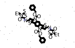 CCN1C(=O)S/C(=N\c2cc3c(s2)c2cc4c(cc2n3C(=O)OCc2ccccc2)c2sc(/N=C3\SC(=S)N(CC)C3=O)cc2n4C(=O)OCc2ccccc2)C1=O